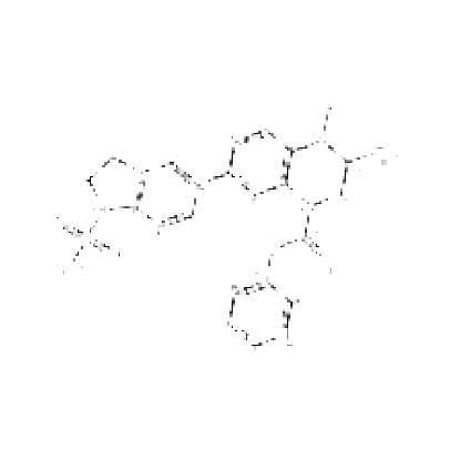 CC(=O)N1c2ccc(-c3ccc4c(c3)CCN4S(C)(=O)=O)cc2N(C(=O)Oc2cccnc2)CC1C